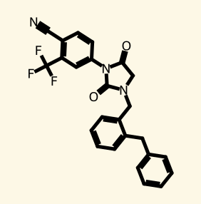 N#Cc1ccc(N2C(=O)CN(Cc3ccccc3Cc3ccccc3)C2=O)cc1C(F)(F)F